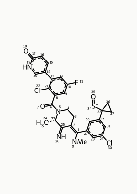 CN/C(=C1/CCN(C(=O)c2cc(F)cc(-c3ccc(=O)[nH]c3)c2Cl)[C@@H](C)C1=N)c1cc(Cl)cc(C2([S+]=O)CC2)c1